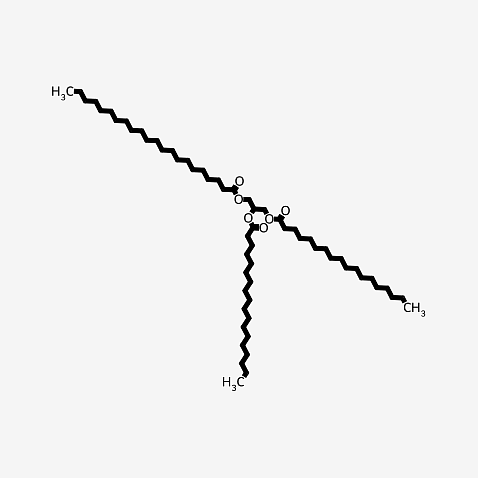 CCCCCCCCCCCCCCCCCCCCCC(=O)OCC(COC(=O)CCCCCCCCCCCCCCCCC)OC(=O)CCCCCCCCCCCCCCCCC